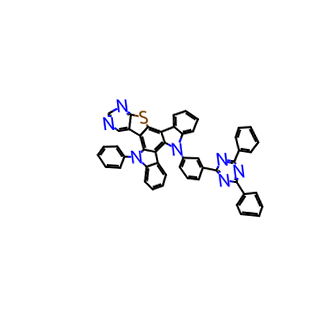 c1ccc(-c2nc(-c3ccccc3)nc(-c3cccc(-n4c5ccccc5c5c6sc7ncncc7c6c6c(c7ccccc7n6-c6ccccc6)c54)c3)n2)cc1